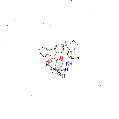 N#C[C@H](C[C@@H]1CCCNC1=O)NC(=O)[C@@H]1[C@@H]2CC[C@@H](CC2(F)F)N1C(=O)C1(O)c2ccccc2-c2ccccc21